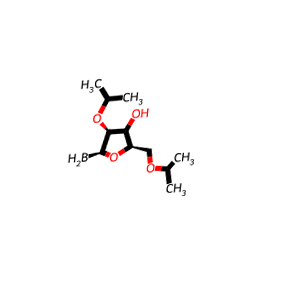 B[C@@H]1O[C@H](COC(C)C)C(O)[C@@H]1OC(C)C